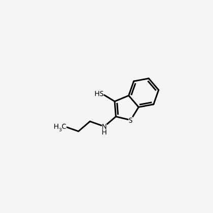 CCCNc1sc2ccccc2c1S